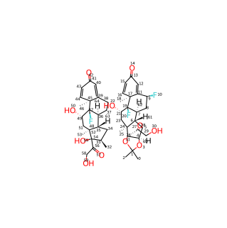 CC1(C)O[C@@H]2C[C@H]3[C@@H]4C[C@H](F)C5=CC(=O)C=C[C@]5(C)[C@@]4(F)[C@@H](O)C[C@]3(C)[C@]2(C(=O)CO)O1.C[C@@H]1C[C@H]2[C@@H]3CCC4=CC(=O)C=C[C@]4(C)[C@@]3(F)[C@@H](O)C[C@]2(C)[C@@]1(O)C(=O)CO